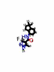 Cc1c(C(=O)Nc2cccc3c2CCC3(C)C)c(C(F)(F)F)nn1C